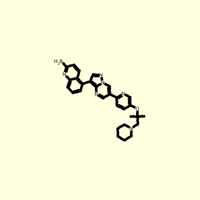 Bc1ccc2c(-c3cnn4cc(-c5ccc(OC(C)(C)CN6CCCCC6)cn5)cnc34)cccc2n1